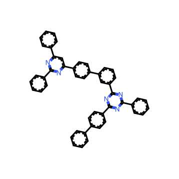 c1ccc(-c2ccc(-c3nc(-c4ccccc4)nc(-c4cccc(-c5ccc(-c6cc(-c7ccccc7)nc(-c7ccccc7)n6)cc5)c4)n3)cc2)cc1